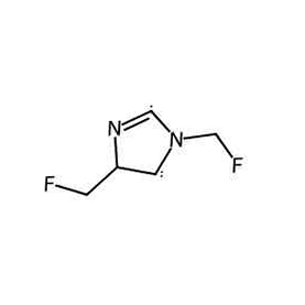 FCC1[C]N(CF)[C]=N1